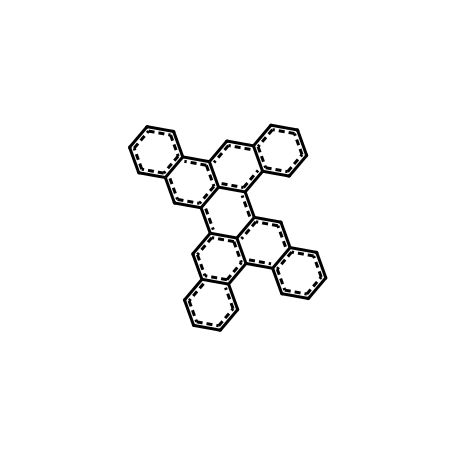 c1ccc2c(c1)cc1c3cc4ccccc4c4c5ccccc5cc(c5c6ccccc6cc2c15)c34